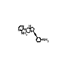 Nc1cccc(C#CC2CC[C@H]3CN(c4nccnc4N)CCN23)c1